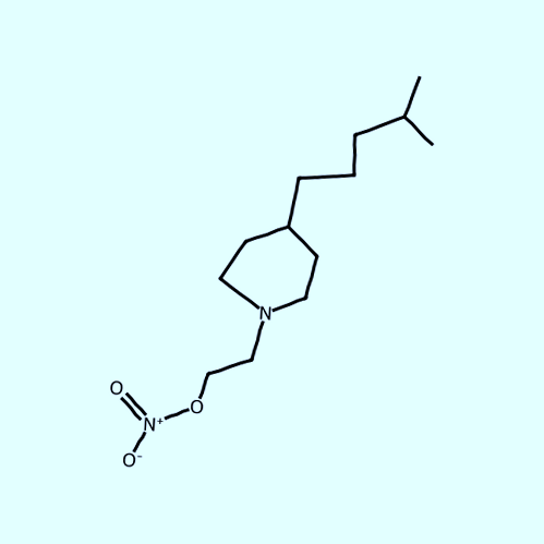 CC(C)CCCC1CCN(CCO[N+](=O)[O-])CC1